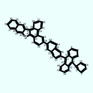 c1ccc(-c2c3ccccc3c(-c3ccc4cc(-c5ccc6c(c5)c5ccccc5c5c7cc8ccccc8cc7sc65)ccc4c3)c3ccccc23)cc1